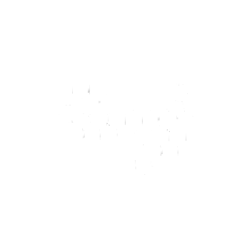 Cc1ccc2c(oc3ccccc32)c1N(c1cccc(-c2ccccc2)c1)c1ccc2ccc3c(N(c4cccc(-c5ccccc5)c4)c4c(C)ccc5c4oc4ccccc45)ccc4ccc1c2c43